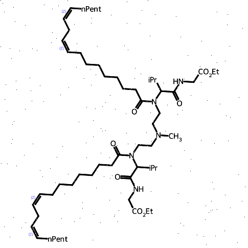 CCCCC/C=C\C/C=C\CCCCCCCC(=O)N(CCN(C)CCN(C(=O)CCCCCCC/C=C\C/C=C\CCCCC)C(C(=O)NCC(=O)OCC)C(C)C)C(C(=O)NCC(=O)OCC)C(C)C